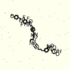 COc1ccc(COc2c(F)cc(C(=O)NCC34CCC(c5noc(-c6ccnc(N7CCN(CCCc8ccc9c(c8)n(C)c(=O)n9C8CCC(=O)NC8=O)CC7)n6)n5)(CC3)CC4)c(F)c2F)cc1